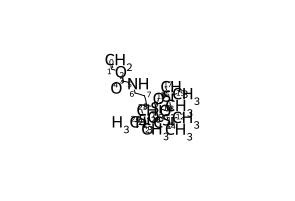 C=COC(=O)NCCC[Si](O[Si](C)(C)C)(O[Si](C)(C)C)O[Si](C)(C)C